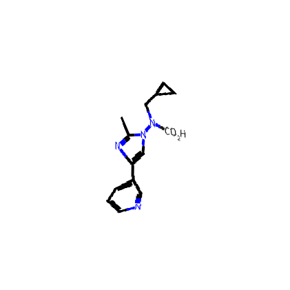 Cc1nc(-c2cccnc2)cn1N(CC1CC1)C(=O)O